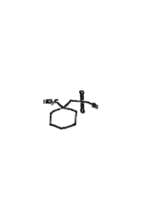 CC(C)(C)S(=O)(=O)CC1(C(=O)O)CCCCC1